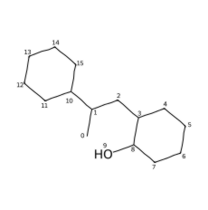 CC(CC1CCCCC1O)C1CCCCC1